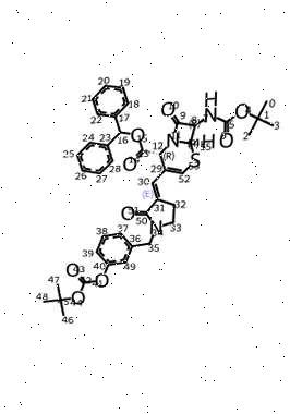 CC(C)(C)OC(=O)N[C@@H]1C(=O)N2[C@@H](C(=O)OC(c3ccccc3)c3ccccc3)C(/C=C3\CCN(Cc4cccc(OC(=O)OC(C)(C)C)c4)C3=O)=CS[C@H]12